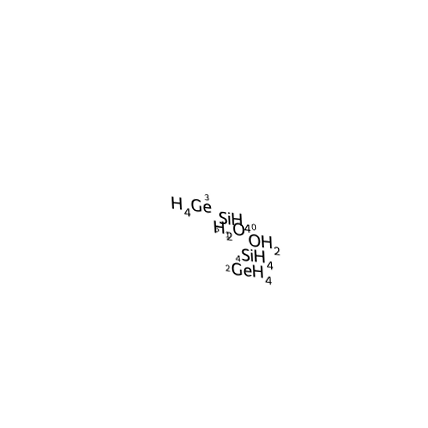 O.O.[GeH4].[GeH4].[SiH4].[SiH4]